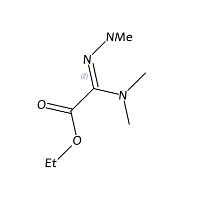 CCOC(=O)/C(=N/NC)N(C)C